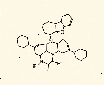 CCC1B2C3CC(C4CCCCC4)=CCC3N(C3CCCC4C5CCC=CC5OC43)C3C=C(C4CCCCC4)CC(C23)N(C(C)C)C1C